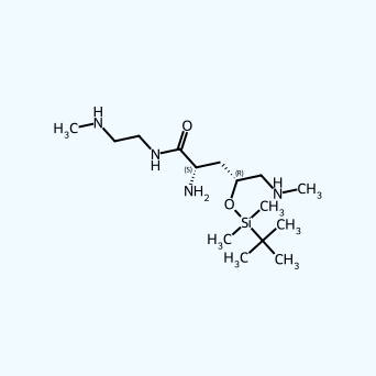 CNCCNC(=O)[C@@H](N)C[C@H](CNC)O[Si](C)(C)C(C)(C)C